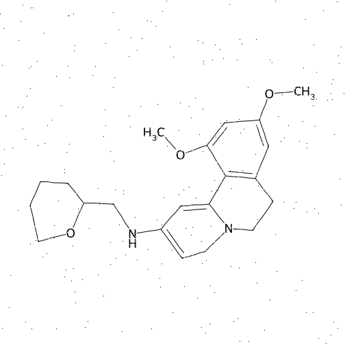 COc1cc2c(c(OC)c1)C1=CC(NCC3CCCCO3)=CCN1CC2